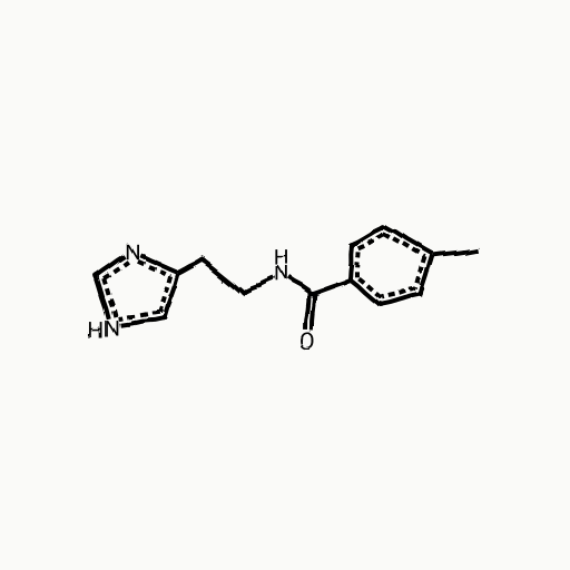 Cc1ccc(C(=O)NCCc2c[nH]cn2)cc1